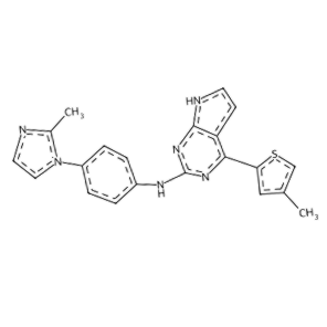 Cc1csc(-c2nc(Nc3ccc(-n4ccnc4C)cc3)nc3[nH]ccc23)c1